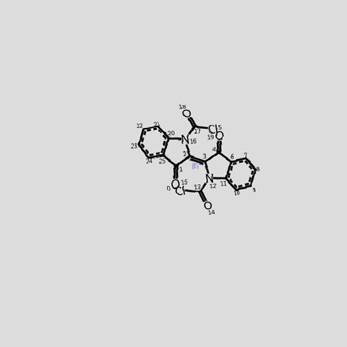 O=C1/C(=C2/C(=O)c3ccccc3N2C(=O)Cl)N(C(=O)Cl)c2ccccc21